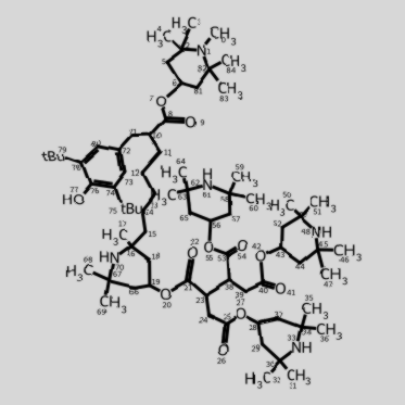 CN1C(C)(C)CC(OC(=O)C(CCCCCC2(C)CC(OC(=O)C(CC(=O)OC3CC(C)(C)NC(C)(C)C3)C(CC(=O)OC3CC(C)(C)NC(C)(C)C3)C(=O)OC3CC(C)(C)NC(C)(C)C3)CC(C)(C)N2)Cc2cc(C(C)(C)C)c(O)c(C(C)(C)C)c2)CC1(C)C